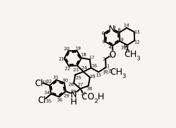 C[C@@H](COc1ccnc2c1[C@H](C)CCC2)CC1Cc2ccccc2C12CCC(Nc1ccc(Cl)c(Cl)c1)(C(=O)O)CC2